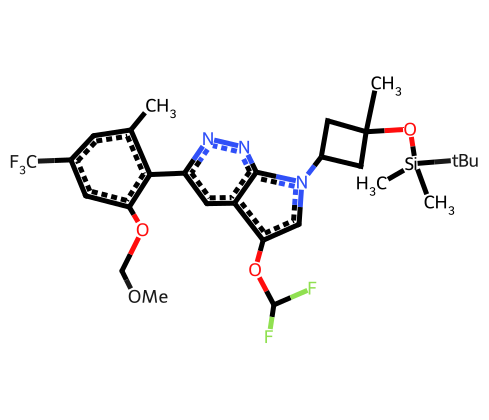 COCOc1cc(C(F)(F)F)cc(C)c1-c1cc2c(OC(F)F)cn(C3CC(C)(O[Si](C)(C)C(C)(C)C)C3)c2nn1